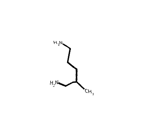 CC(CN)CCCN